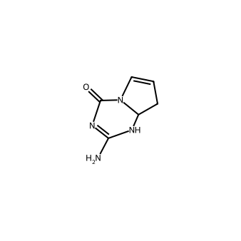 NC1=NC(=O)N2C=CCC2N1